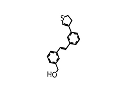 OCc1cccc(C=Cc2cccc(C3=CSCC3)c2)c1